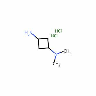 CN(C)C1CC(N)C1.Cl.Cl